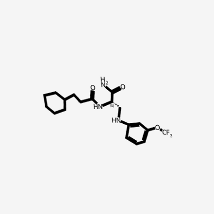 NC(=O)[C@H](CNc1cccc(OC(F)(F)F)c1)NC(=O)[CH]CC1CCCCC1